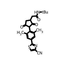 Cc1cc(-c2nc(C#N)cs2)cc(C)c1C1C(=O)CC(CC(=O)NC(C)(C)C)C1=O